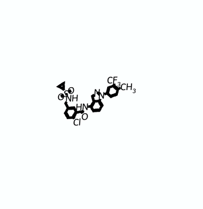 Cc1ccc(-n2ncc3c(NC(=O)c4cc(CNS(=O)(=O)C5CC5)ccc4Cl)cccc32)cc1C(F)(F)F